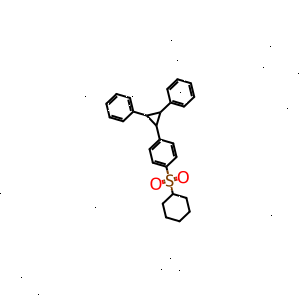 O=S(=O)(c1ccc(C2C(c3ccccc3)C2c2ccccc2)cc1)C1CCCCC1